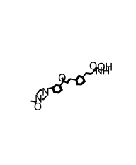 CC(=O)N1CCN(Cc2cccc(C(=O)/C=C/c3cccc(/C=C/C(=O)NO)c3)c2)CC1